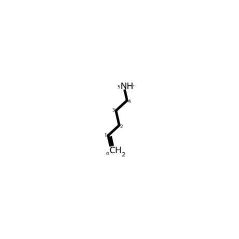 C=CCCC[NH]